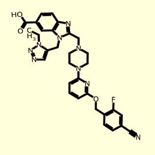 CCn1nncc1Cn1c(CN2CCN(c3cccc(OCc4ccc(C#N)cc4F)n3)CC2)nc2ccc(C(=O)O)cc21